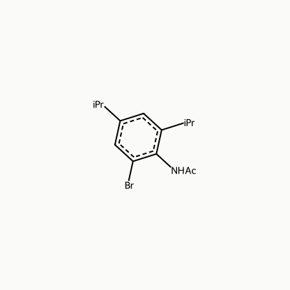 CC(=O)Nc1c(Br)cc(C(C)C)cc1C(C)C